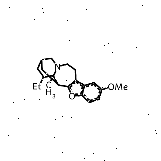 CCC1CC2CC3c4oc5ccc(OC)cc5c4CCN(C2)C13C